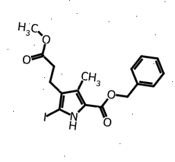 COC(=O)CCc1c(I)[nH]c(C(=O)OCc2ccccc2)c1C